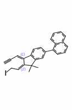 C#C/C=C1\C(=C/CI)C(C)(C)c2cc(-c3cccc4ccccc34)ccc21